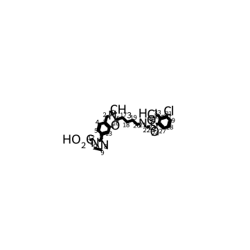 CN(Cc1ccc(C2=NCCN2C(=O)O)cc1)C(=O)CCCCNCS(=O)(=O)c1cccc(Cl)c1Cl